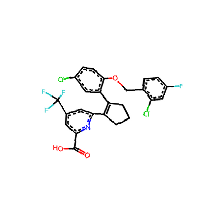 O=C(O)c1cc(C(F)(F)F)cc(C2=C(c3cc(Cl)ccc3OCc3ccc(F)cc3Cl)CCC2)n1